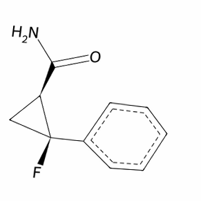 NC(=O)[C@@H]1C[C@@]1(F)c1ccccc1